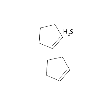 C1=CCCC1.C1=CCCC1.S